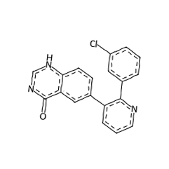 O=c1nc[nH]c2ccc(-c3cccnc3-c3cccc(Cl)c3)cc12